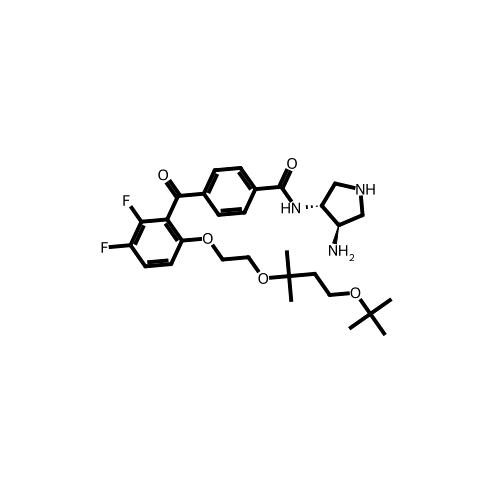 CC(C)(C)OCCC(C)(C)OCCOc1ccc(F)c(F)c1C(=O)c1ccc(C(=O)N[C@@H]2CNC[C@H]2N)cc1